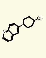 O[C@H]1CC[C@@H](c2ccc3ncccc3c2)CC1